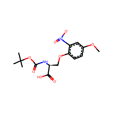 COc1ccc(OC[C@H](NC(=O)OC(C)(C)C)C(=O)O)c([N+](=O)[O-])c1